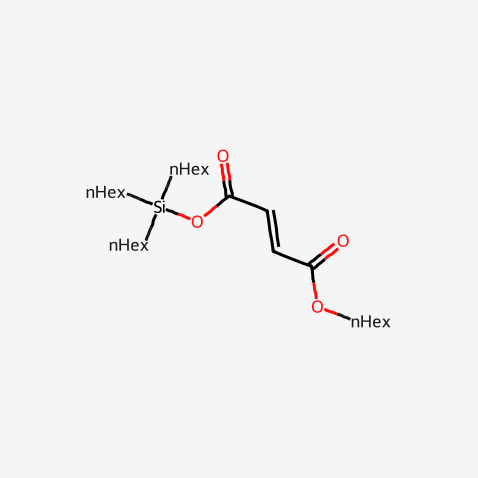 CCCCCCOC(=O)C=CC(=O)O[Si](CCCCCC)(CCCCCC)CCCCCC